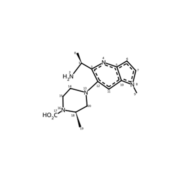 C[C@H](N)c1nc2ccn(C)c2cc1N1CCN(C(=O)O)[C@H](C)C1